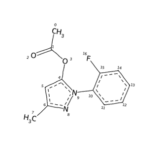 CC(=O)Oc1cc(C)nn1-c1ccccc1F